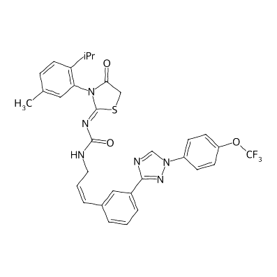 Cc1ccc(C(C)C)c(N2C(=O)CS/C2=N\C(=O)NC/C=C\c2cccc(-c3ncn(-c4ccc(OC(F)(F)F)cc4)n3)c2)c1